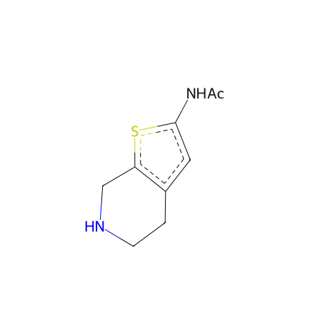 CC(=O)Nc1cc2c(s1)CNCC2